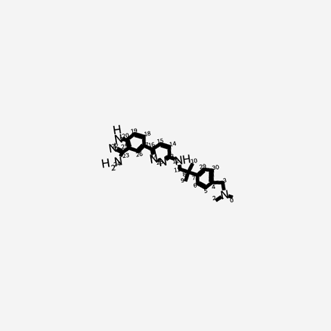 CN(C)Cc1ccc(C(C)(C)CNc2ccc(-c3ccc4[nH]nc(N)c4c3)nn2)cc1